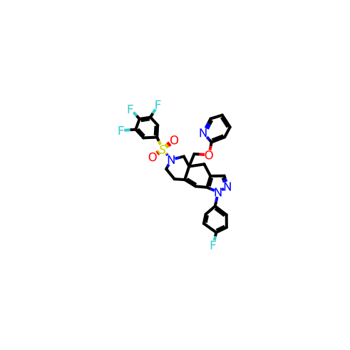 O=S(=O)(c1cc(F)c(F)c(F)c1)N1CCC2=Cc3c(cnn3-c3ccc(F)cc3)CC2(COc2ccccn2)C1